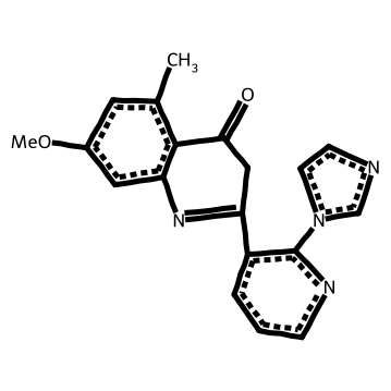 COc1cc(C)c2c(c1)N=C(c1cccnc1-n1ccnc1)CC2=O